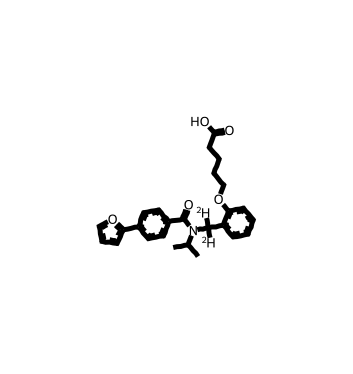 [2H]C([2H])(c1ccccc1OCCCCC(=O)O)N(C(=O)c1ccc(-c2ccco2)cc1)C(C)C